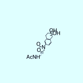 CC(=O)NC[C@H]1CN(c2ccc3c(c2)CCS(O)(O)C3)C(=O)O1